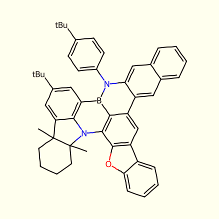 CC(C)(C)c1ccc(N2B3c4cc(C(C)(C)C)cc5c4N(c4c3c(cc3c4oc4ccccc43)-c3cc4ccccc4cc32)C2(C)CCCCC52C)cc1